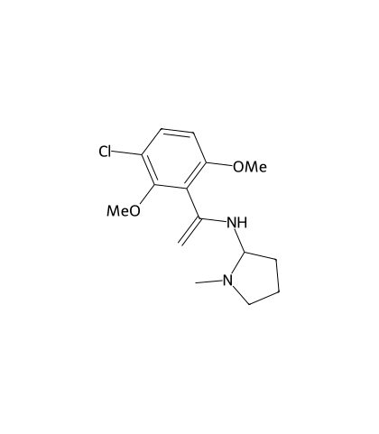 C=C(NC1CCCN1C)c1c(OC)ccc(Cl)c1OC